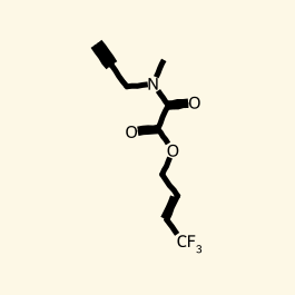 C#CCN(C)C(=O)C(=O)OC/C=C/C(F)(F)F